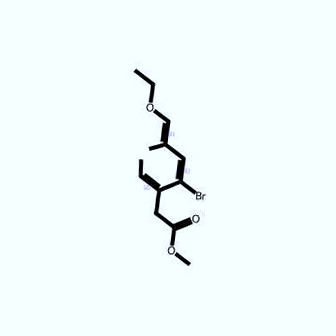 C\C=C(CC(=O)OC)/C(Br)=C\C(C)=C\OCC